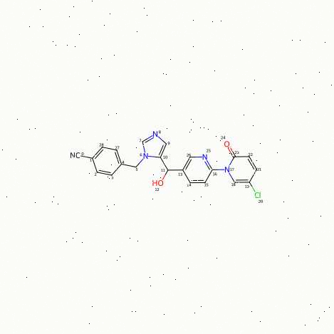 N#Cc1ccc(Cn2cncc2C(O)c2ccc(-n3cc(Cl)ccc3=O)nc2)cc1